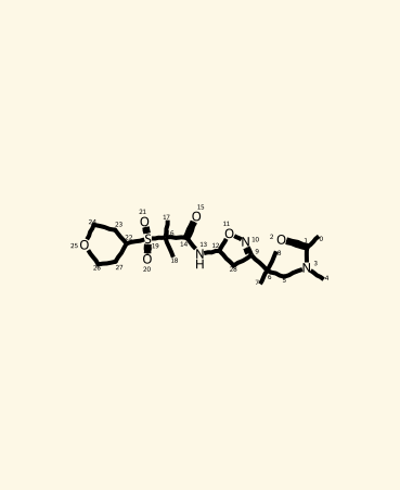 CC(=O)N(C)CC(C)(C)C1=NOC(NC(=O)C(C)(C)S(=O)(=O)C2CCOCC2)C1